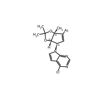 CC(=O)C1=C[C@@H](n2ccc3c(Cl)ncnc32)[C@@H]2OC(C)(C)O[C@]12C